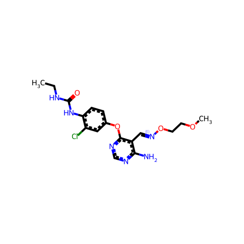 CCNC(=O)Nc1ccc(Oc2ncnc(N)c2/C=N/OCCOC)cc1Cl